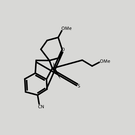 COCCN1C(=O)C2(NC1=S)c1cc(C#N)ccc1CC21CCC(OC)CC1